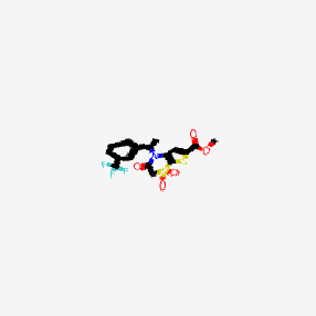 COC(=O)c1cc2c(s1)S(=O)(=O)CC(=O)N2C(C)c1cccc(C(F)(F)F)c1